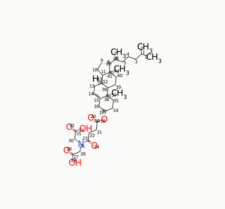 CC(C)CCC[C@@H](C)[C@H]1CCC2[C@@H]3CC=C4C[C@@H](OC(=O)CCC(=O)N(CC(=O)O)CC(=O)O)CC[C@]4(C)C3CC[C@@]21C